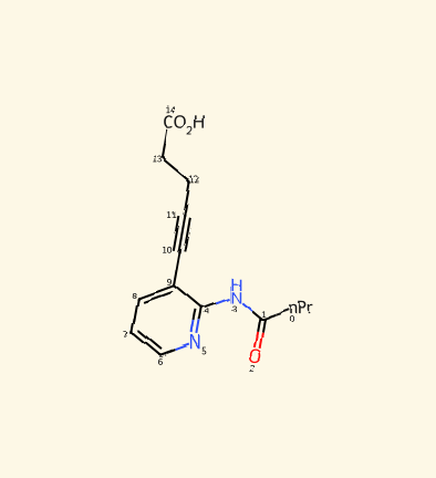 CCCC(=O)Nc1ncccc1C#CCCC(=O)O